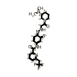 CN(C)[C@@H]1CCCN(C(=O)CN/N=C2/C=CC(NC(=O)c3cccc(CC(F)(F)F)n3)=CC2=S)C1